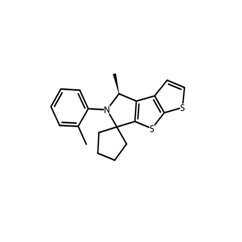 Cc1ccccc1N1[C@@H](C)c2c(sc3sccc23)C12CCCC2